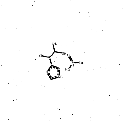 CC(O)C(Cl)c1nc[nH]n1.O=[PH](O)O